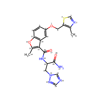 Cc1ncsc1COc1ccc2oc(C)c(C(=O)NC(Cn3cncn3)C(N)=O)c2c1